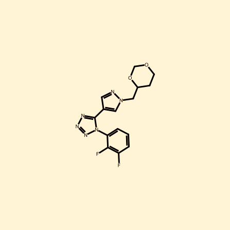 Fc1cccc(-n2nnnc2-c2cnn(CC3CCOCO3)c2)c1F